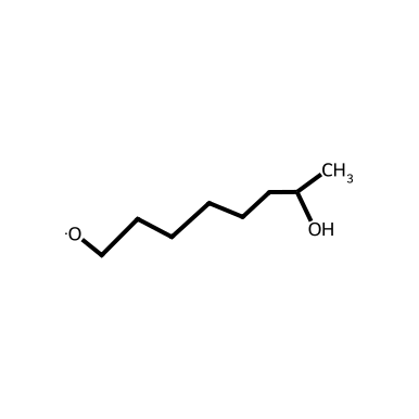 CC(O)CCCCCC[O]